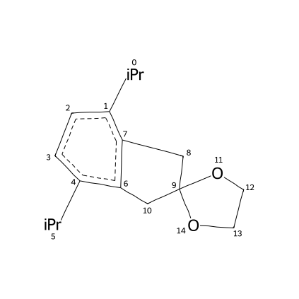 CC(C)c1ccc(C(C)C)c2c1CC1(C2)OCCO1